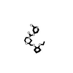 CCOc1ccccc1OCC1CN(C(=O)Oc2ccnc(Cl)c2)CCO1